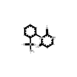 NS(=O)(=O)c1ccccc1-n1c(=O)cc[nH]c1=O